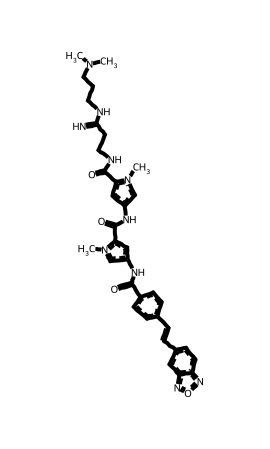 CN(C)CCCNC(=N)CCNC(=O)c1cc(NC(=O)c2cc(NC(=O)c3ccc(/C=C/c4ccc5nonc5c4)cc3)cn2C)cn1C